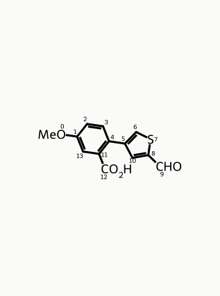 COc1ccc(-c2csc(C=O)c2)c(C(=O)O)c1